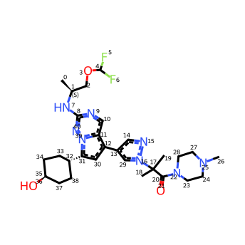 C[C@@H](COC(F)F)Nc1ncc2c(-c3cnn(C(C)(C)C(=O)N4CCN(C)CC4)c3)cc([C@H]3CC[C@H](O)CC3)n2n1